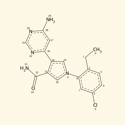 CCc1ccc(Cl)cc1-n1cc(C(N)=O)c(-c2cc(N)ncn2)c1